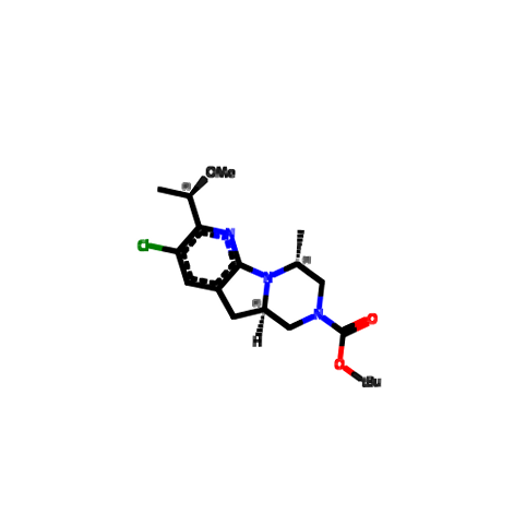 CO[C@H](C)c1nc2c(cc1Cl)C[C@@H]1CN(C(=O)OC(C)(C)C)C[C@@H](C)N21